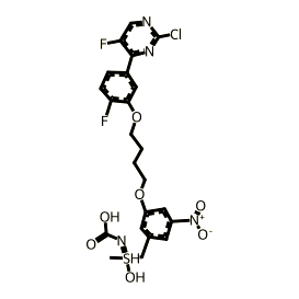 C[SH](O)(Cc1cc(OCCCCOc2cc(-c3nc(Cl)ncc3F)ccc2F)cc([N+](=O)[O-])c1)=NC(=O)O